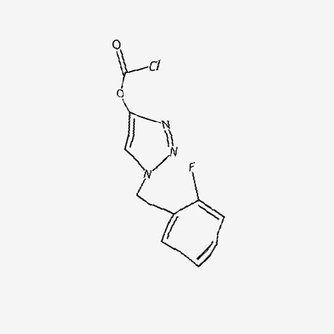 O=C(Cl)Oc1cn(Cc2ccccc2F)nn1